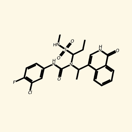 CCC(N(C(=O)Nc1ccc(F)c(Cl)c1)C(C)c1c[nH]c(=O)c2ccccc12)S(=O)(=O)NC